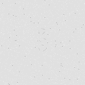 O=C(Nc1ccc(I)cc1F)c1cccnc1